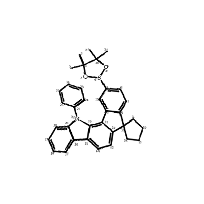 CC1(C)OB(c2ccc3c(c2)-c2c(ccc4c5ccccc5n(-c5ccccc5)c24)C32CCCC2)OC1(C)C